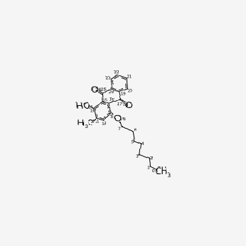 CCCCCCCCOc1cc(C)c(O)c2c1C(=O)c1ccccc1C2=O